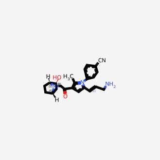 Cc1c(C(=O)CN2[C@H]3CC[C@H]2[C@H](O)C3)cc(/C=C/CN)n1-c1ccc(C#N)cc1